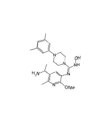 COc1nc(C)c(C(C)N)cc1N=C(NO)N1CCN(c2cc(C)cc(C)c2)CC1